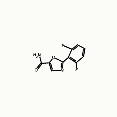 NC(=O)c1cnc(-c2c(F)cccc2F)o1